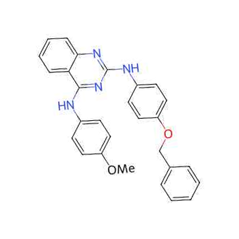 COc1ccc(Nc2nc(Nc3ccc(OCc4ccccc4)cc3)nc3ccccc23)cc1